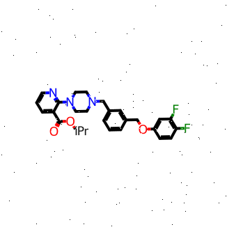 CC(C)OC(=O)c1cccnc1N1CCN(Cc2cccc(COc3ccc(F)c(F)c3)c2)CC1